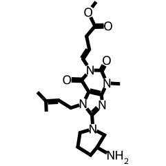 COC(=O)CC=Cn1c(=O)c2c(nc(N3CCCC(N)C3)n2CC=C(C)C)n(C)c1=O